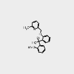 CCC(O)(c1ccccc1OC)c1ccccc1OCc1cccc(C)n1